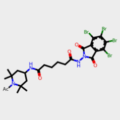 CC(=O)N1C(C)(C)CC(NC(=O)CCCCC(=O)NN2C(=O)c3c(Br)c(Br)c(Br)c(Br)c3C2=O)CC1(C)C